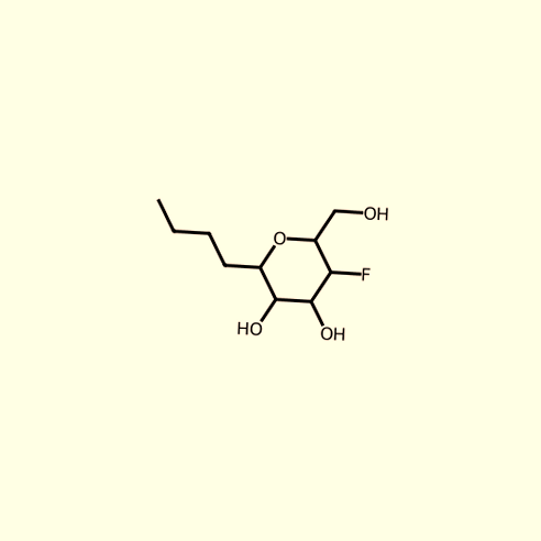 CCCCC1OC(CO)C(F)C(O)C1O